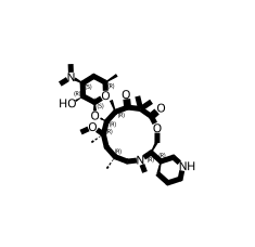 CO[C@]1(C)C[C@@H](C)CN(C)[C@H]([C@@H]2CCCNC2)COC(=O)C(C)(C)C(=O)[C@H](C)[C@H]1O[C@@H]1O[C@H](C)C[C@H](N(C)C)[C@H]1O